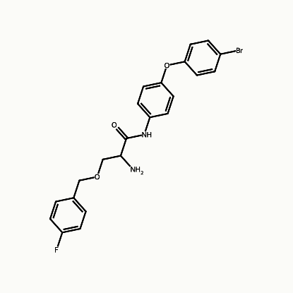 NC(COCc1ccc(F)cc1)C(=O)Nc1ccc(Oc2ccc(Br)cc2)cc1